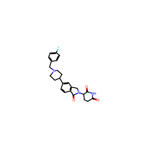 O=C1CCC(N2Cc3cc(C4CCN(Cc5ccc(F)cc5)CC4)ccc3C2=O)C(=O)N1